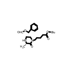 C[C@@H]1NCCN(CCCCC(=O)OC(C)(C)C)C1=O.O=COCc1ccccc1